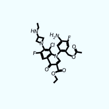 CCNC1CN(c2c(F)cc3c(=O)c(C(=O)OCC)cn(-c4cc(N)c(F)cc4COC(C)=O)c3c2Cl)C1